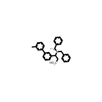 Cc1cccc(-c2cccc(C(CC(=O)O)N(Cc3ccccc3)[C@H](C)c3ccccc3)c2)c1